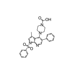 Cc1cn(S(=O)(=O)c2ccccc2)c2ncc(-c3ccccc3)c(N3CCN(C(=O)O)CC3)c12